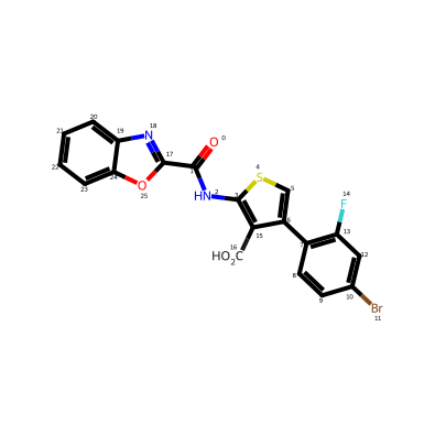 O=C(Nc1scc(-c2ccc(Br)cc2F)c1C(=O)O)c1nc2ccccc2o1